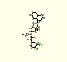 CC(C(=O)Nc1ccc(F)c(Br)c1)[C@@H]1CC2CC(c3ccnc4ccc(F)cc34)C[C@@H]2C1